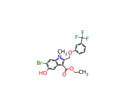 CCOC(=O)c1c(COc2cccc(C(F)(F)F)c2)n(C)c2cc(Br)c(O)cc12